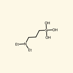 CCN(CC)CCC[Si](O)(O)O